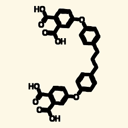 O=C(O)c1ccc(Oc2ccc(CCCc3ccc(Oc4ccc(C(=O)O)c(C(=O)O)c4)cc3)cc2)cc1C(=O)O